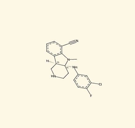 CN1c2c(C#N)cccc2[C@@H]2CNCC[C@@]21Nc1ccc(F)c(Cl)c1